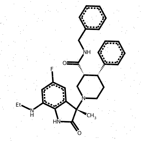 CCNc1cc(F)cc2c1NC(=O)[C@@]2(C)N1CC[C@@H](c2ccccc2)[C@@H](C(=O)NCc2ccccc2)C1